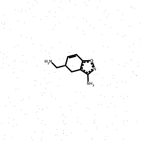 NCC1C=Cc2onc(N)c2C1